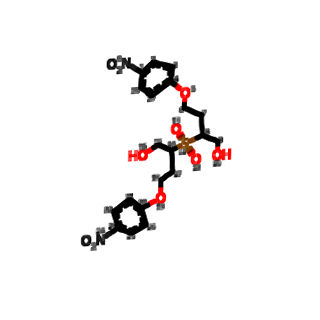 O=[N+]([O-])c1ccc(OCCC(CO)S(=O)(=O)C(CO)CCOc2ccc([N+](=O)[O-])cc2)cc1